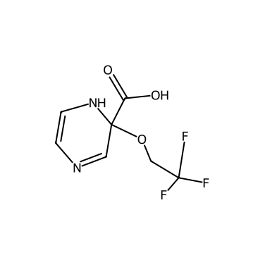 O=C(O)C1(OCC(F)(F)F)C=NC=CN1